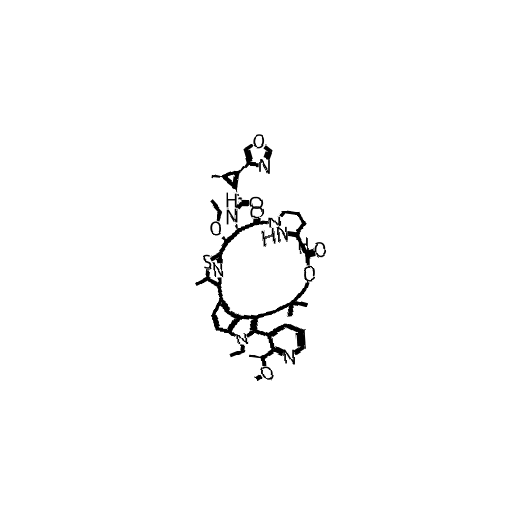 CCO[C@@H]1C2=NC(c3ccc4c(c3)c(c(-c3cccnc3[C@H](C)OC)n4CC)CC(C)(C)COC(=O)[C@@H]3CCCN(N3)C(=O)[C@H]1NC(=O)[C@@H]1[C@@H](C)[C@H]1c1cocn1)C(C)S2